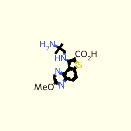 COc1cnc2c(ccc3sc(C(=O)O)c(NCC(C)(C)N)c32)n1